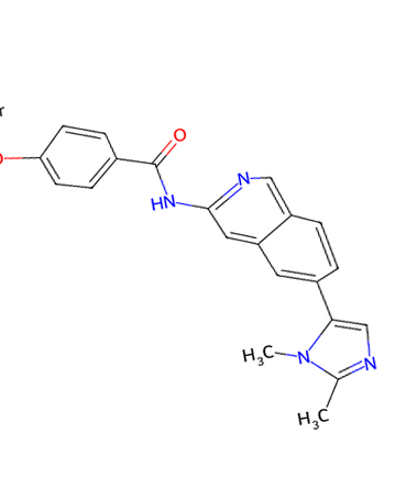 Cc1ncc(-c2ccc3cnc(NC(=O)c4ccc(OC(C)C)cc4)cc3c2)n1C